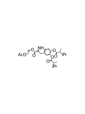 CC(=O)OC[C@H](C)OC(=O)[C@@H](N)Cc1ccc(OC(=O)C(C)C(C)C)c(OC(=O)C(C)C(C)C)c1